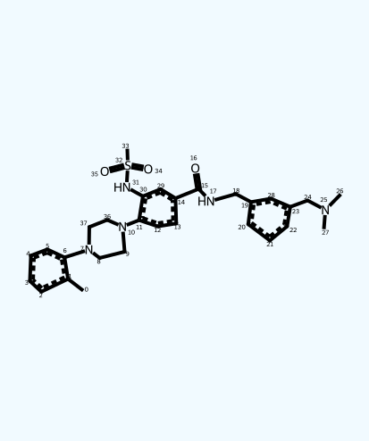 Cc1ccccc1N1CCN(c2ccc(C(=O)NCc3cccc(CN(C)C)c3)cc2NS(C)(=O)=O)CC1